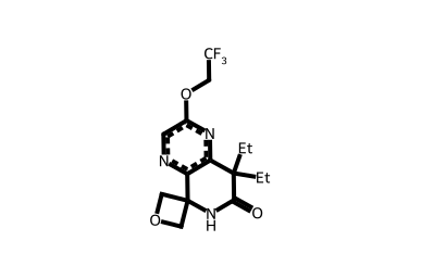 CCC1(CC)C(=O)NC2(COC2)c2ncc(OCC(F)(F)F)nc21